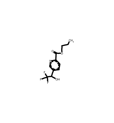 CCCOC(=O)c1ccc(C(O)C(F)(F)F)cn1